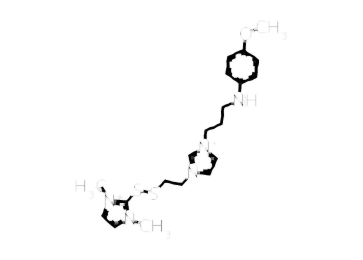 COc1ccc(NCCC[n+]2ccn(CCSSc3n(C)cc[n+]3C)c2)cc1